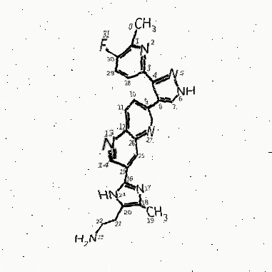 Cc1nc(-c2n[nH]cc2-c2ccc3ncc(-c4nc(C)c(CCN)[nH]4)cc3n2)ccc1F